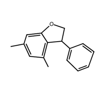 Cc1cc(C)c2c(c1)OCC2c1ccccc1